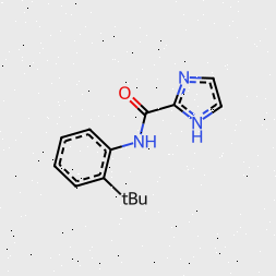 CC(C)(C)c1ccccc1NC(=O)c1ncc[nH]1